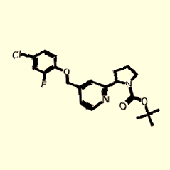 CC(C)(C)OC(=O)N1CCCC1c1cc(COc2ccc(Cl)cc2F)ccn1